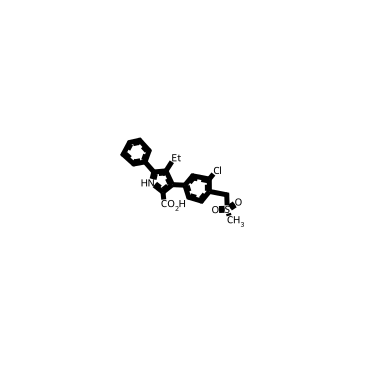 CCc1c(-c2ccccc2)[nH]c(C(=O)O)c1-c1ccc(CS(C)(=O)=O)c(Cl)c1